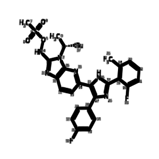 C[C@@H](n1c(NOS(C)(=O)=O)nc2ccc(-c3[nH]c(-c4c(F)cccc4C(F)(F)F)nc3-c3ccc(F)cc3)nc21)C(C)(C)C